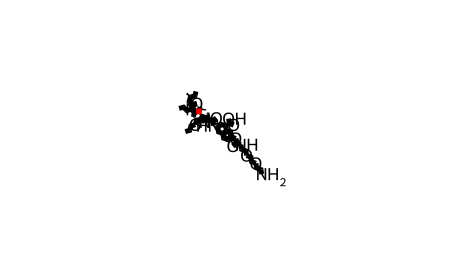 CCCO[C@H](CC(C(C)C)N(CCC)C(=O)C[C@@H](C)CC)c1nc(C(=O)N[C@H]2Cc3ccc(OC(=O)NCCOCCOCCN)cc3[C@H](C(=O)O)C2)cs1